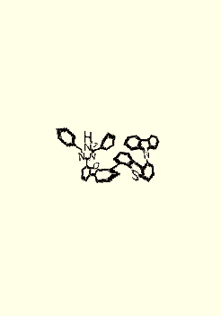 N/C(=N\C(=N/Cc1ccccc1)c1cccc2c1oc1c(-c3cccc4c3sc3cccc(-n5c6ccccc6c6ccccc65)c34)cccc12)c1ccccc1